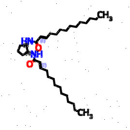 CCCCCCCCCCC/C=C/C(=O)N[C@H]1CCC[C@H]1NC(=O)/C=C/CCCCCCCCCCC